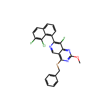 COc1nc(SCc2ccccc2)c2cnc(-c3cccc4ccc(F)c(Cl)c34)c(F)c2n1